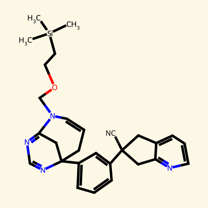 C[Si](C)(C)CCOCN1C=CCC2(c3cccc(C4(C#N)Cc5cccnc5C4)c3)CC1=NC=N2